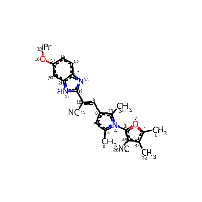 Cc1oc(-n2c(C)cc(C=C(C#N)c3nc4ccc(OC(C)C)cc4[nH]3)c2C)c(C#N)c1C